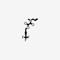 C=CCN(C)C(=O)C(=O)OCC#CC(F)(F)F